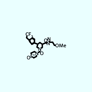 COCCc1noc(C2CC(c3ccc(CC(F)(F)F)cc3)CN(C(=O)N3CC[S+]([O-])CC3)C2)n1